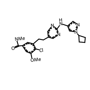 CNC(=O)c1cc(CCc2cnc(Nc3cnn(C4CCC4)c3)nc2)c(Cl)c(OC)c1